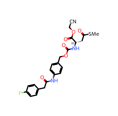 CSC(=O)C[C@H](NC(=O)OCc1ccc(NC(=O)Cc2ccc(F)cc2)cc1)C(=O)OCC#N